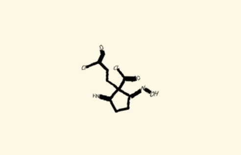 N=C1CCC(=NO)C1(CCC(=O)Cl)C(=O)Cl